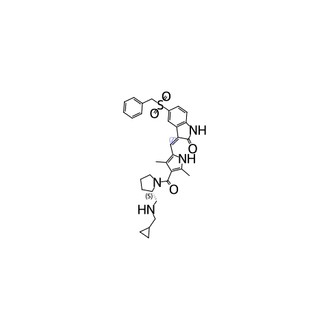 Cc1[nH]c(/C=C2\C(=O)Nc3ccc(S(=O)(=O)Cc4ccccc4)cc32)c(C)c1C(=O)N1CCC[C@H]1CNCC1CC1